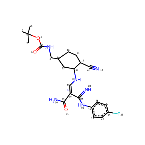 CC(C)(C)OC(=O)NCC1CCC(C#N)C(N/C=C(\C(=N)Nc2ccc(F)cc2)C(N)=O)C1